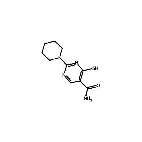 NC(=O)c1cnc(N2CCCCC2)nc1S